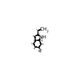 C=Cc1cc2ccc(F)cc2[nH]1